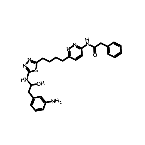 Nc1cccc(CC(O)Nc2nnc(CCCCc3ccc(NC(=O)Cc4ccccc4)nn3)s2)c1